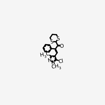 Cc1nn(C)c(Cl)c1/C=C(/C(=O)C1SCCCS1)c1ccccc1